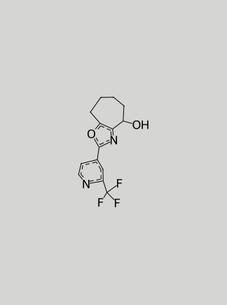 OC1CCCCc2oc(-c3ccnc(C(F)(F)F)c3)nc21